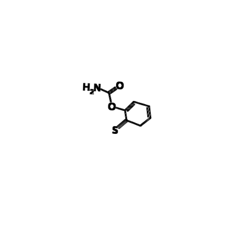 NC(=O)OC1=CC=CCC1=S